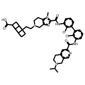 CC(C)N1CCc2cc(C(=O)Nc3cccc(-c4cccc(NC(=O)c5nc6c(n5C)CCN(CCC57C8C9C5C5C7C8C95C(=O)O)C6)c4Cl)c3Cl)ncc2C1